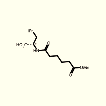 COC(=O)CCCCC(=O)N[C@@H](CC(C)C)C(=O)O